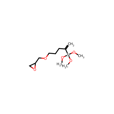 C=C(CCCOCC1CO1)[Si](OC)(OC)OC